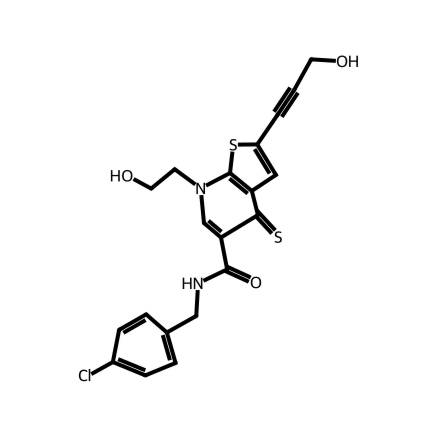 O=C(NCc1ccc(Cl)cc1)c1cn(CCO)c2sc(C#CCO)cc2c1=S